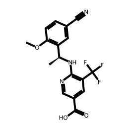 COc1ccc(C#N)cc1[C@H](C)Nc1ncc(C(=O)O)cc1C(F)(F)F